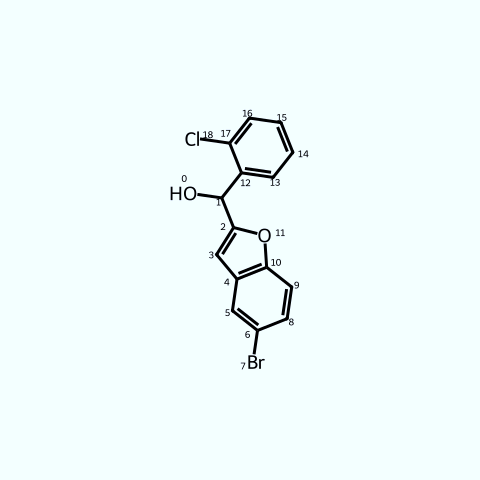 OC(c1cc2cc(Br)ccc2o1)c1ccccc1Cl